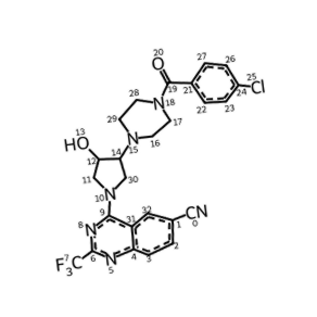 N#Cc1ccc2nc(C(F)(F)F)nc(N3CC(O)C(N4CCN(C(=O)c5ccc(Cl)cc5)CC4)C3)c2c1